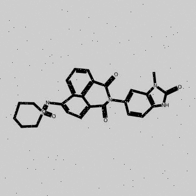 Cn1c(=O)[nH]c2ccc(N3C(=O)c4cccc5c(N=S6(=O)CCCCC6)ccc(c45)C3=O)cc21